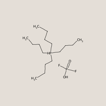 CCCC[PH](CCCC)(CCCC)CCCC.O=P(O)(F)F